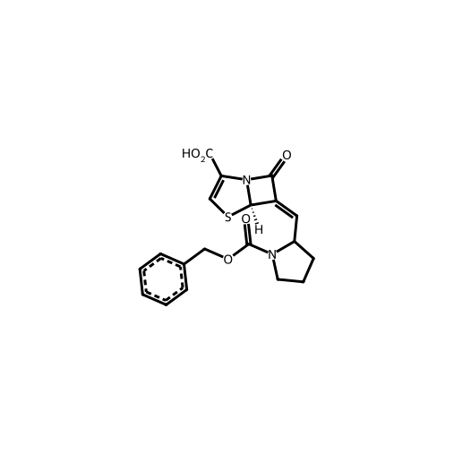 O=C(O)C1=CS[C@@H]2/C(=C\C3CCCN3C(=O)OCc3ccccc3)C(=O)N12